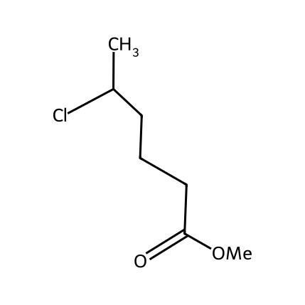 COC(=O)CCCC(C)Cl